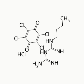 CCCCNC(=N)NC(=N)N.Cl.O=C1C(Cl)=C(Cl)C(=O)C(Cl)=C1Cl